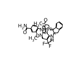 COc1cc(C(N)=O)ccc1Nc1ncc(C(F)(F)F)c(N[C@@H]2Cc3ccccc3[C@H]2NCS(C)(=O)=O)n1